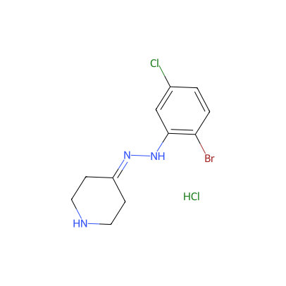 Cl.Clc1ccc(Br)c(NN=C2CCNCC2)c1